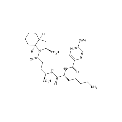 COc1ccc(C(=O)N[C@@H](CCCCN)C(=O)N[C@H](CCC(=O)N2[C@H](C(=O)O)C[C@@H]3CCCC[C@@H]32)C(=O)O)cn1